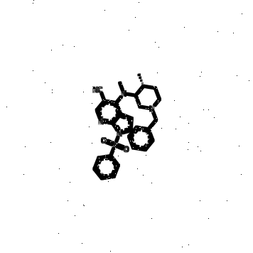 C[C@@H]1CCN(Cc2ccccc2)CC1N(C)c1c(C#N)cnc2c1ccn2S(=O)(=O)c1ccccc1